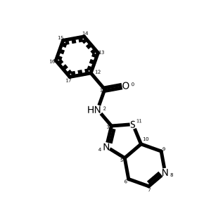 O=C(NC1=NC2CC=NCC2S1)c1ccccc1